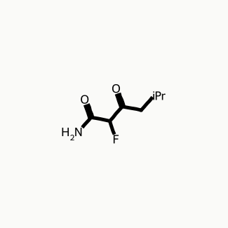 CC(C)CC(=O)C(F)C(N)=O